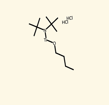 CCCC[O][Ti][N](C(C)(C)C)C(C)(C)C.Cl.Cl